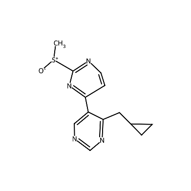 C[S+]([O-])c1nccc(-c2cncnc2CC2CC2)n1